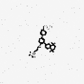 CCOC(=O)c1ccc(-c2ccc(OCCCO[Si](C)(C)C(C)(C)C)c(-c3ccc4c(c3)C(C)(C)CCC4(C)C)c2)cc1